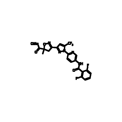 COC(=O)C1(C)CC(c2cc(C(F)(F)F)n(-c3ccc(NC(=O)c4c(F)cccc4F)cn3)n2)=NO1